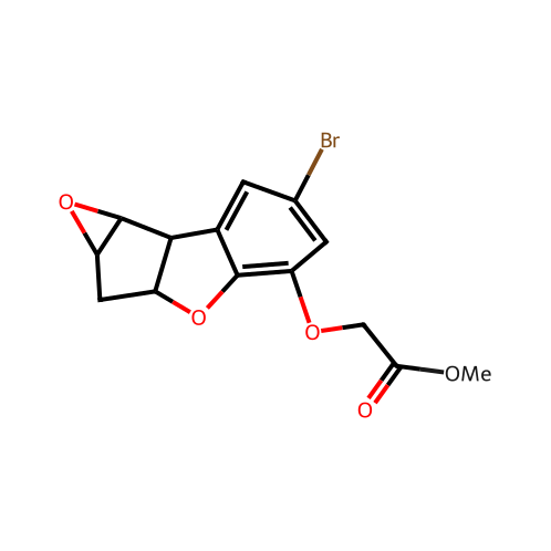 COC(=O)COc1cc(Br)cc2c1OC1CC3OC3C21